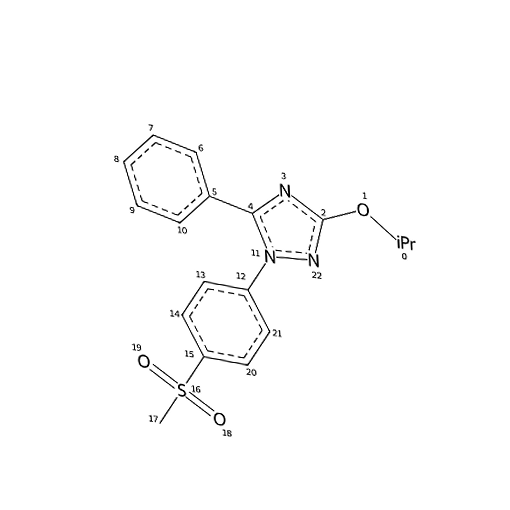 CC(C)Oc1nc(-c2ccccc2)n(-c2ccc(S(C)(=O)=O)cc2)n1